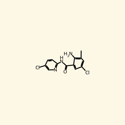 Cc1cc(Cl)cc(C(=O)Nc2ccc(Cl)cn2)c1N